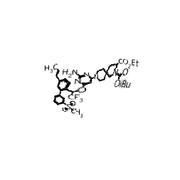 CC=Cc1ccc([C@@H](Oc2cc(N3CCC4(CC3)CC(C(=O)OCC)N(C(=O)OCC(C)C)C4)nc(N)n2)C(F)(F)F)c(-c2cccc(S(C)(=O)=O)c2)c1